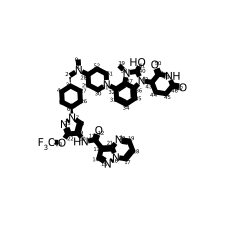 CN(C[C@H]1CC[C@H](n2cc(NC(=O)c3cnn4cccnc34)c(OC(F)(F)F)n2)CC1)C1CCN(c2cccc3c2N(C)C(O)N3C2CCC(=O)NC2=O)CC1